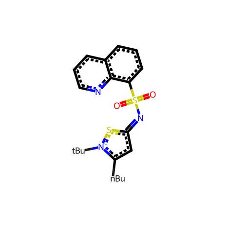 CCCCc1c/c(=N/S(=O)(=O)c2cccc3cccnc23)sn1C(C)(C)C